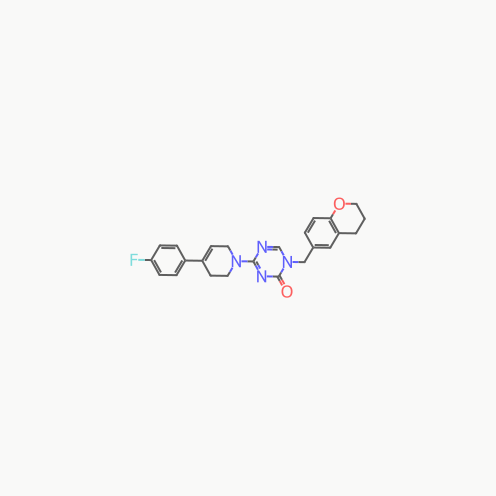 O=c1nc(N2CC=C(c3ccc(F)cc3)CC2)ncn1Cc1ccc2c(c1)CCCO2